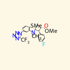 COC(=O)[C@H]1CC[C@H](N(C)c2cc(-n3nnnc3C(F)(F)F)ccc2SC)[C@@H]1c1ccc(F)cc1